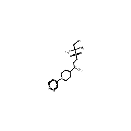 CC(C)CC(C)(C)S(=O)(=O)CC[C@H](C)C1CCN(c2ccnnc2)CC1